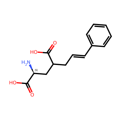 N[C@@H](CC(CC=Cc1ccccc1)C(=O)O)C(=O)O